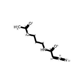 CC(=O)OCCCNC(=O)C=[N+]=[N-]